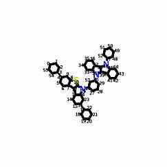 c1ccc(-c2ccc3c(c2)sc2c3c3ccc(-c4ccccc4)cc3n2-c2cccc(-n3c4ccccc4c4c3c3ccccc3n4-c3ccccc3)c2)cc1